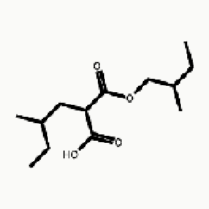 CCC(C)COC(=O)C(CC(C)CC)C(=O)O